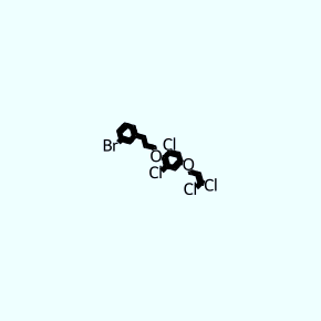 ClC(Cl)=CCOc1cc(Cl)c(OCCCc2cccc(Br)c2)c(Cl)c1